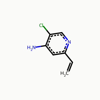 C=Cc1cc(N)c(Cl)cn1